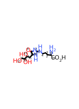 N[C@@H](CCCNC1=NC(=O)C(CC(O)C(O)CO)N1)C(=O)O